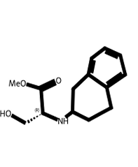 COC(=O)[C@@H](CO)NC1CCc2ccccc2C1